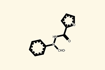 O=[C]N(NC(=O)c1ccco1)c1ccccc1